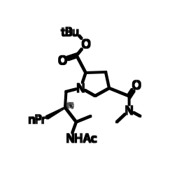 CCC[C@@H](CN1CC(C(=O)N(C)C)CC1C(=O)OC(C)(C)C)C(C)NC(C)=O